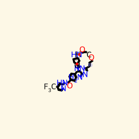 Nc1ncc2n3c(nc(-c4ccc(C(=O)Nc5cc(C(F)(F)F)ccn5)cc4)c13)[C@@H]1CC[C@H](C1)NC(=O)CCOC/C=C/2